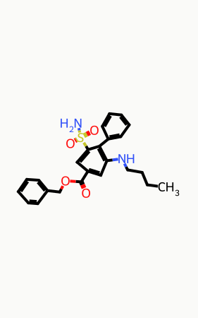 CCCCNc1cc(C(=O)OCc2ccccc2)cc(S(N)(=O)=O)c1-c1ccccc1